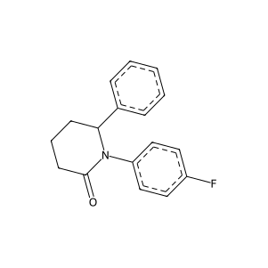 O=C1CCCC(c2ccccc2)N1c1ccc(F)cc1